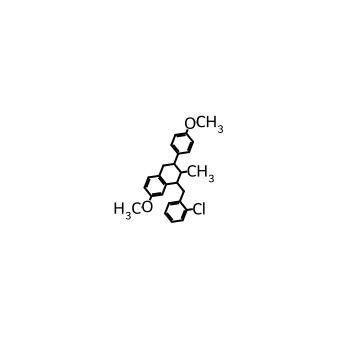 COc1ccc(C2Cc3ccc(OC)cc3C(Cc3ccccc3Cl)C2C)cc1